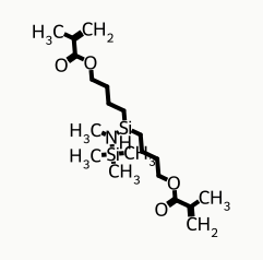 C=C(C)C(=O)OCCCC[SiH](CCCCOC(=O)C(=C)C)N(C)[Si](C)(C)C